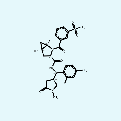 CN1C[C@H]([C@@H](NC(=O)[C@H]2C[C@H]3C[C@H]3N2C(=O)c2cccc(S(C)(=O)=O)c2)c2ccc(C(F)(F)F)cc2F)CC1=O